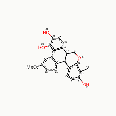 COc1ccc(C2c3ccc(O)c(C)c3OCC2c2ccc(O)c(O)c2)cc1